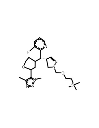 Cc1nnn(C)c1C1CC(C(c2ncccc2F)[C@@H]2C=NN(COCC[Si](C)(C)C)C2)CCO1